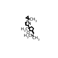 CN(C)C=C1CCC(C)(c2ccn(C3(C)CC3)n2)C1=O